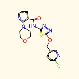 O=C(Nc1nnc(OCc2ccc(Cl)nc2)s1)c1cccnc1N1CCOCC1